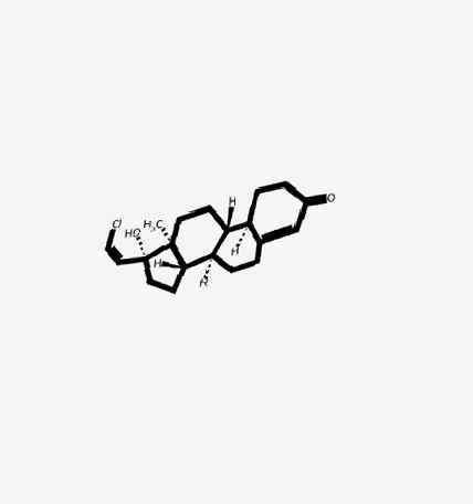 C[C@]12CC[C@H]3[C@@H](CCC4=CC(=O)CC[C@@H]43)[C@@H]1CC[C@@]2(O)/C=C\Cl